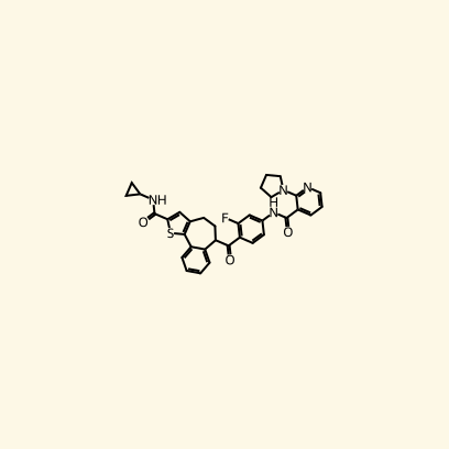 O=C(NC1CC1)c1cc2c(s1)-c1ccccc1C(C(=O)c1ccc(NC(=O)c3cccnc3N3CCCC3)cc1F)CC2